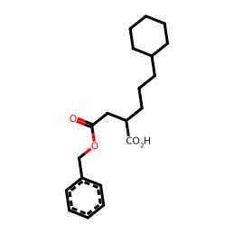 O=C(CC(CCCC1CCCCC1)C(=O)O)OCc1ccccc1